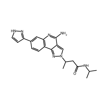 CC(C)NC(=O)CC(C)n1cc2c(N)nc3cc(-c4cc[nH]n4)ccc3c2n1